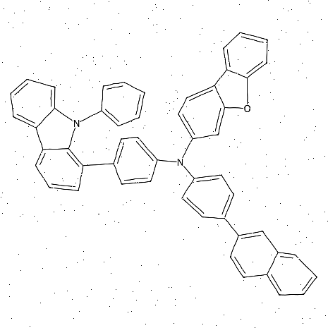 c1ccc(-n2c3ccccc3c3cccc(-c4ccc(N(c5ccc(-c6ccc7ccccc7c6)cc5)c5ccc6c(c5)oc5ccccc56)cc4)c32)cc1